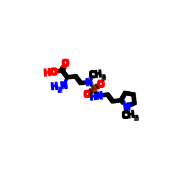 CN1CCCC1CCNS(=O)(=O)N(C)CC[C@H](N)C(=O)O